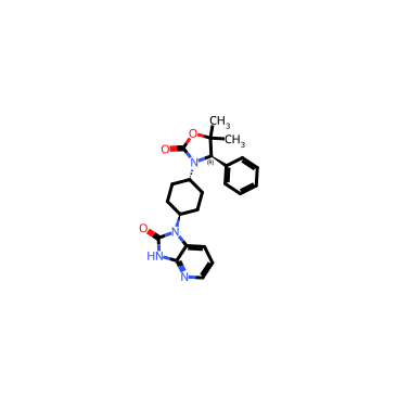 CC1(C)OC(=O)N([C@H]2CC[C@H](n3c(=O)[nH]c4ncccc43)CC2)[C@@H]1c1ccccc1